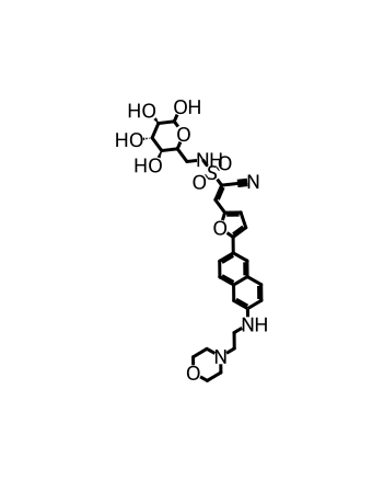 N#C/C(=C\c1ccc(-c2ccc3cc(NCCN4CCOCC4)ccc3c2)o1)S(=O)(=O)NCC1OC(O)[C@H](O)[C@@H](O)[C@@H]1O